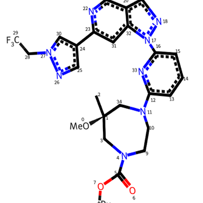 CO[C@]1(C)CN(C(=O)OC(C)(C)C)CCN(c2cccc(-n3ncc4cnc(-c5cnn(CC(F)(F)F)c5)cc43)n2)C1